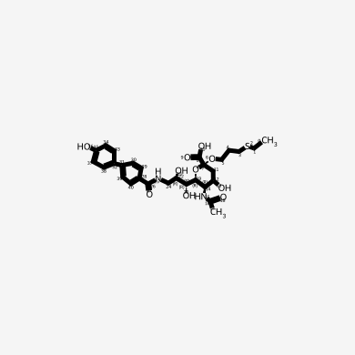 CCSCCCO[C@]1(C(=O)O)CC(O)[C@@H](NC(C)=O)[C@H]([C@H](O)[C@H](O)CNC(=O)c2ccc(-c3ccc(O)cc3)cc2)O1